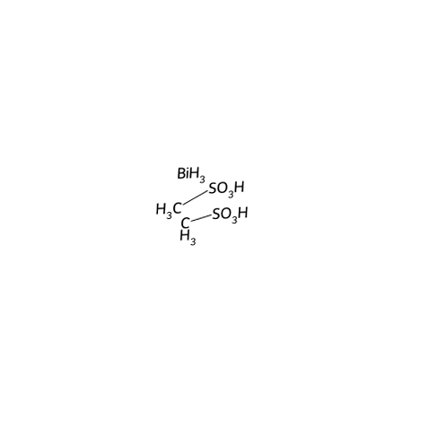 CS(=O)(=O)O.CS(=O)(=O)O.[BiH3]